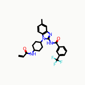 C=CC(=O)NC1CCC(n2c(NC(=O)c3cccc(C(F)(F)F)c3)nc3cc(C)ccc32)CC1